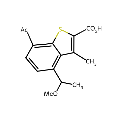 COC(C)c1ccc(C(C)=O)c2sc(C(=O)O)c(C)c12